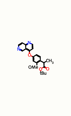 COc1cc(Oc2ccnc3ccncc23)ccc1C(C)C(=O)OC(C)(C)C